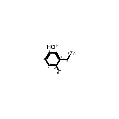 Cl.Fc1ccccc1[CH2][Zn]